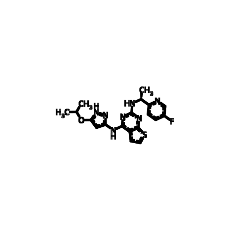 CC(C)Oc1cc(Nc2nc(N[C@@H](C)c3ccc(F)cn3)nc3sccc23)n[nH]1